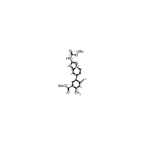 COC(=O)c1cc(-c2ccn3nc(NC(=O)OC(C)(C)C)nc3c2)c(F)cc1C